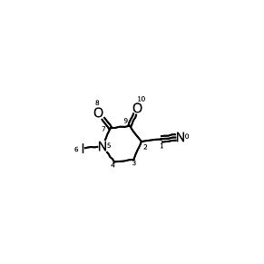 N#CC1CCN(I)C(=O)C1=O